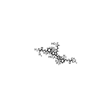 C=C(C)C(=O)OCCC1=CCC(C)(C)C(N2CCC(C(CCCCCCCC(=O)O)(C(=O)O)C3CCN(C4C(C)(C)CC=C(CCOC(=O)C(=C)C)C4(C)C)CC3)CC2)C1(C)C